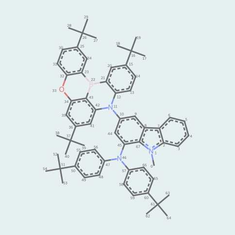 Cn1c2ccccc2c2cc(N3c4ccc(C(C)(C)C)cc4B4c5cc(C(C)(C)C)ccc5Oc5cc(C(C)(C)C)cc3c54)cc(N(c3ccc(C(C)(C)C)cc3)c3ccc(C(C)(C)C)cc3)c21